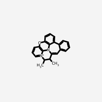 CC1C2=Cc3ccccc3-c3cccc4c3N2c2c(ccc[n+]2C1C)O4